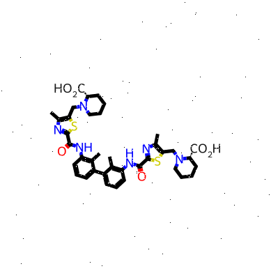 Cc1nc(C(=O)Nc2cccc(-c3cccc(NC(=O)c4nc(C)c(CN5CCCC[C@H]5C(=O)O)s4)c3C)c2C)sc1CN1CCCC[C@H]1C(=O)O